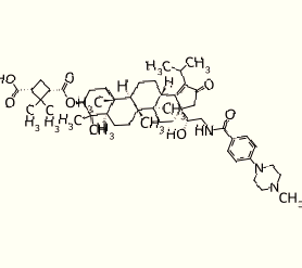 CC(C)C1=C2[C@H]3CC[C@@H]4[C@@]5(C)CC[C@H](OC(=O)[C@H]6C[C@@H](C(=O)O)C6(C)C)C(C)(C)[C@@H]5CC[C@@]4(C)[C@]3(C)CC[C@@]2([C@@H](O)CNC(=O)c2ccc(N3CCN(C)CC3)cc2)CC1=O